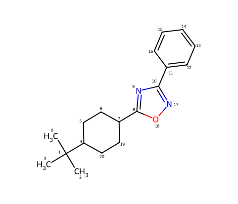 CC(C)(C)C1CCC(c2nc(-c3ccccc3)no2)CC1